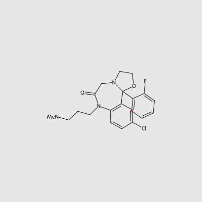 CNCCCN1C(=O)CN2CCOC2(c2ccccc2F)c2cc(Cl)ccc21